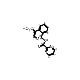 CO/C=C(/C(=O)O)c1ccccc1CSC(=O)c1ncccn1